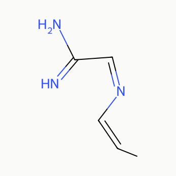 C/C=C\N=C/C(=N)N